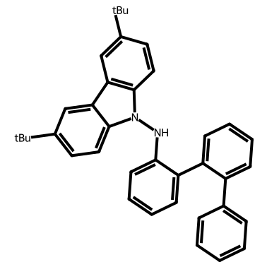 CC(C)(C)c1ccc2c(c1)c1cc(C(C)(C)C)ccc1n2Nc1ccccc1-c1ccccc1-c1ccccc1